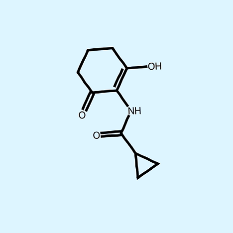 O=C1CCCC(O)=C1NC(=O)C1CC1